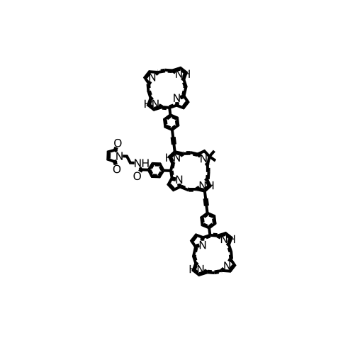 CC1(C)Cc2cc3[nH]c(cc3C#Cc3ccc(-c4c5nc(cc6ccc(cc7nc(cc8ccc4[nH]8)C=C7)[nH]6)C=C5)cc3)c(-c3ccc(C(=O)NCCN4C(=O)C=CC4=O)cc3)c3nc(cc4[nH]c(cc1n2)cc4C#Cc1ccc(-c2c4nc(cc5ccc(cc6nc(cc7ccc2[nH]7)C=C6)[nH]5)C=C4)cc1)C=C3